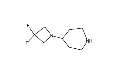 FC1(F)CN(C2CCNCC2)C1